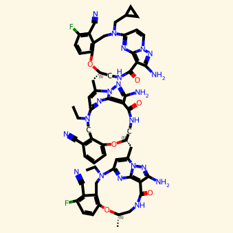 CCN1Cc2c(C#N)cccc2O[C@@H](Cc2cc3nc4c(c(N)nn24)C(=O)NC[C@H](C)Oc2ccc(F)c(C#N)c2CN3CC)CNC(=O)c2c(N)nn3c(C[C@H]4CNC(=O)c5c(N)nn6ccc(nc56)N(CC5CC5)Cc5c(ccc(F)c5C#N)O4)cc1nc23